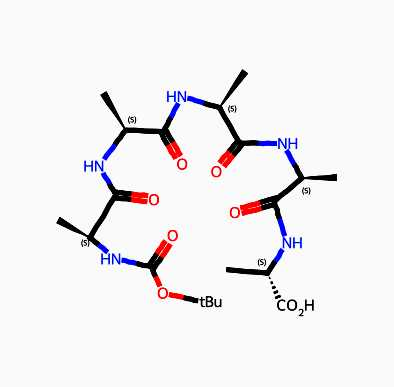 C[C@H](NC(=O)[C@H](C)NC(=O)[C@H](C)NC(=O)[C@H](C)NC(=O)[C@H](C)NC(=O)OC(C)(C)C)C(=O)O